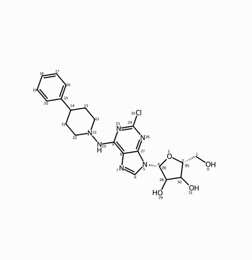 OC[C@H]1O[C@@H](n2cnc3c(NN4CCC(c5ccccc5)CC4)nc(Cl)nc32)C(O)C1O